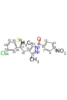 Cc1nn(C(=O)c2ccc([N+](=O)[O-])cc2)c(C)c1Cc1csc2ccc(Cl)cc12